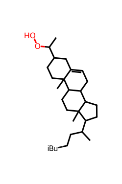 CCC(C)CCC(C)C1CCC2C3CC=C4CC(C(C)OO)CCC4(C)C3CCC12C